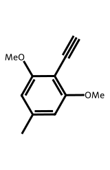 C#Cc1c(OC)cc(C)cc1OC